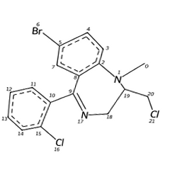 CN1c2ccc(Br)cc2C(c2ccccc2Cl)=NCC1CCl